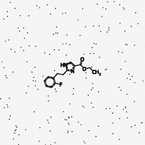 CCOC(=O)c1c[nH]c(CCc2ccccc2F)n1